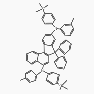 Cc1ccc(N(c2ccc([Si](C)(C)C)cc2)c2cc3c(c4ccccc24)-c2ccc(N(c4ccc([Si](C)(C)C)cc4)c4cccc(C)c4)cc2C3(c2ccccc2)c2ccccc2)cc1